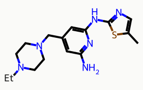 CCN1CCN(Cc2cc(N)nc(Nc3ncc(C)s3)c2)CC1